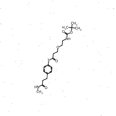 CNC(=O)CCc1ccc(SC(=O)CCOCCNC(=O)OC(C)(C)C)cc1